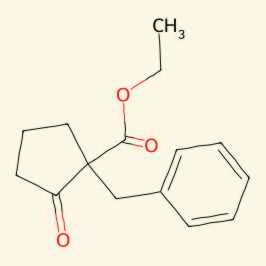 CCOC(=O)C1(Cc2ccccc2)CCCC1=O